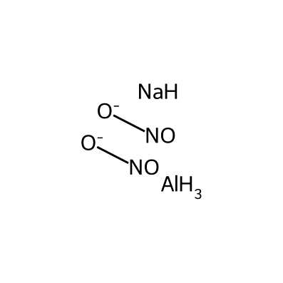 O=[NH+][O-].O=[NH+][O-].[AlH3].[NaH]